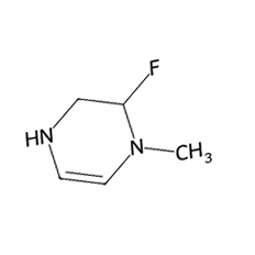 CN1C=CNCC1F